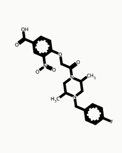 CC1CN(C(=O)COc2ccc(C(=O)O)cc2[N+](=O)[O-])C(C)CN1Cc1ccc(F)cc1